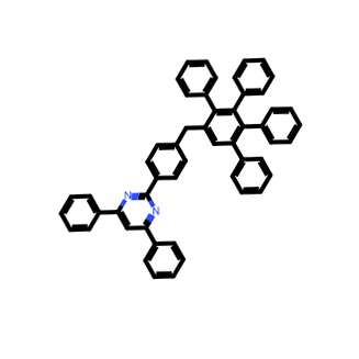 c1ccc(-c2cc(-c3ccccc3)nc(-c3ccc(Cc4cc(-c5ccccc5)c(-c5ccccc5)c(-c5ccccc5)c4-c4ccccc4)cc3)n2)cc1